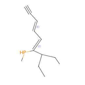 C#C/C=C/C=C(\PC)C(CC)CC